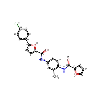 Cc1cc(NC(=O)c2ccc(-c3ccc(Cl)cc3)o2)ccc1NC(=O)c1ccco1